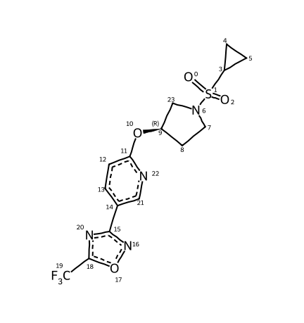 O=S(=O)(C1CC1)N1CC[C@@H](Oc2ccc(-c3noc(C(F)(F)F)n3)cn2)C1